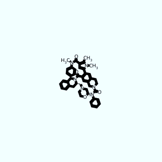 Cc1c(C(=O)N(C)c2ccccc2)cc(-c2cc3c(cc2C(=O)N2Cc4ccccc4C[C@H]2CN2CCOCC2)CN(C(=O)Nc2ccccc2)CC3)n1C